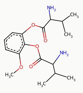 COc1cccc(OC(=O)C(N)C(C)C)c1OC(=O)C(N)C(C)C